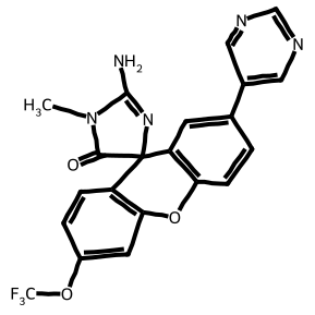 CN1C(=O)C2(N=C1N)c1ccc(OC(F)(F)F)cc1Oc1ccc(-c3cncnc3)cc12